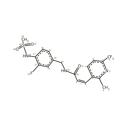 Cc1nc(C(F)(F)F)ccc1/C=C\C(=O)NCc1ccc(NS(C)(=O)=O)c(F)c1